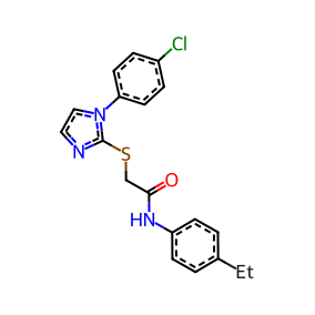 CCc1ccc(NC(=O)CSc2nccn2-c2ccc(Cl)cc2)cc1